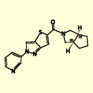 O=C(c1cc2nn(-c3cccnc3)cc2s1)N1C[C@H]2CCC[C@H]2C1